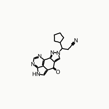 N#CCC(C1CCCC1)n1cc2c(n1)-c1ncnc3[nH]cc(c13)C2=O